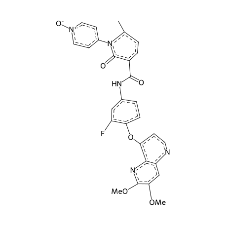 COc1cc2nccc(Oc3ccc(NC(=O)c4ccc(C)n(-c5cc[n+]([O-])cc5)c4=O)cc3F)c2nc1OC